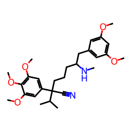 CNC(CCCC(C#N)(c1cc(OC)c(OC)c(OC)c1)C(C)C)Cc1cc(OC)cc(OC)c1